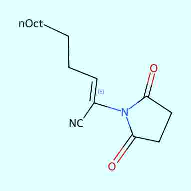 CCCCCCCCCC/C=C(\C#N)N1C(=O)CCC1=O